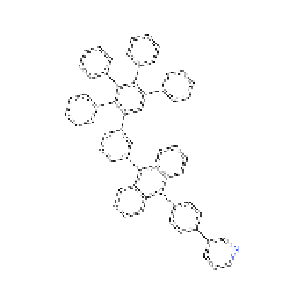 c1ccc(-c2cc(-c3cccc(-c4c5ccccc5c(-c5ccc(-c6cccnc6)cc5)c5ccccc45)c3)c(-c3ccccc3)c(-c3ccccc3)c2-c2ccccc2)cc1